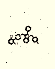 Cc1ccc(Cn2c(-c3ccccc3)c(CN3CCC(c4c(Cl)cccc4Cl)CC3)c3ccccc32)cc1